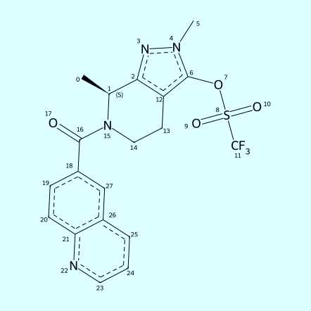 C[C@H]1c2nn(C)c(OS(=O)(=O)C(F)(F)F)c2CCN1C(=O)c1ccc2ncccc2c1